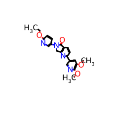 CCOc1ccc(N2Cc3nc(-c4cnc(OC)c(OC)c4)ccc3C2=O)cn1